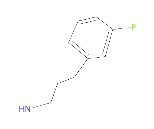 [NH]CCCc1cccc(F)c1